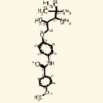 COc1ccc(C(=O)Nc2ccc(OCC(O)C(N)C(C)(C)C)cc2)cc1